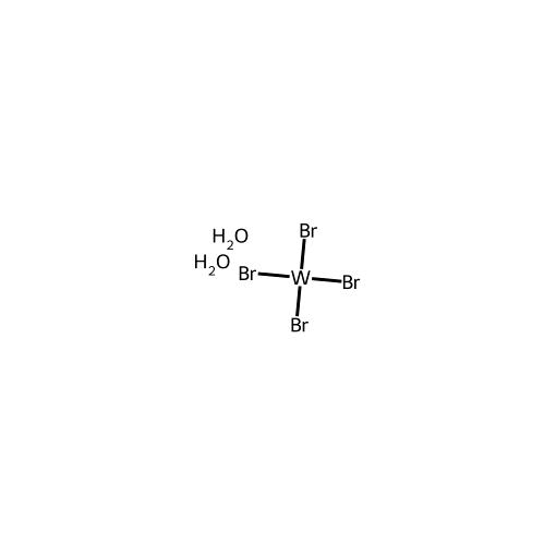 O.O.[Br][W]([Br])([Br])[Br]